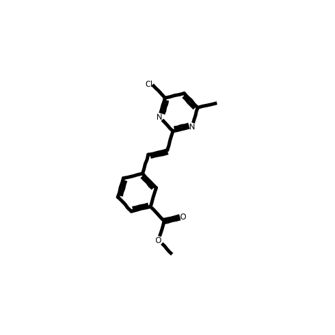 COC(=O)c1cccc(C=Cc2nc(C)cc(Cl)n2)c1